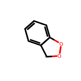 [C]1OOc2ccccc21